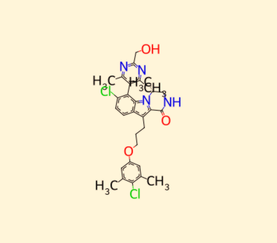 Cc1cc(OCCCc2c3n(c4c(-c5c(C)nc(CO)nc5C)c(Cl)ccc24)[C@H](C)CNC3=O)cc(C)c1Cl